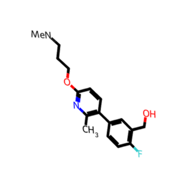 CNCCCOc1ccc(-c2ccc(F)c(CO)c2)c(C)n1